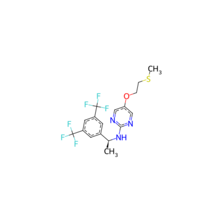 CSCCOc1cnc(N[C@@H](C)c2cc(C(F)(F)F)cc(C(F)(F)F)c2)nc1